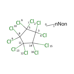 CCCCCCCCCC.ClC1(Cl)C(Cl)(Cl)C(Cl)(Cl)C(Cl)(Cl)C1(Cl)Cl